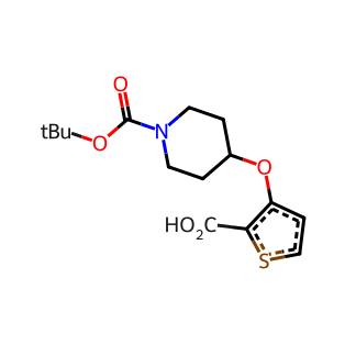 CC(C)(C)OC(=O)N1CCC(Oc2ccsc2C(=O)O)CC1